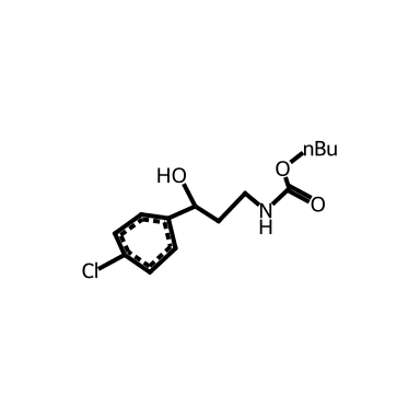 CCCCOC(=O)NCCC(O)c1ccc(Cl)cc1